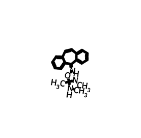 CNC(C)(NC)ON=c1c2ccccc2ccc2ccccc12